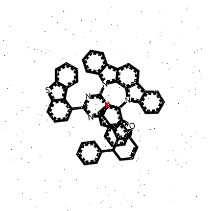 C1=Cc2oc3c(-n4c5ccccc5c5ccc6c7ccccc7n(-c7nc(-c8ccccc8)nc(-c8cccc9sc%10ccccc%10c89)n7)c6c54)cccc3c2C(c2ccccc2)C1